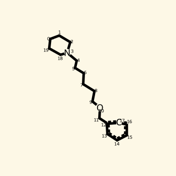 [CH]1CCN(CCCCCCOCc2ccccc2)CC1